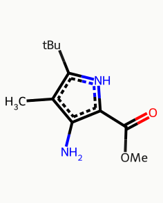 COC(=O)c1[nH]c(C(C)(C)C)c(C)c1N